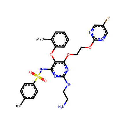 COc1ccccc1Oc1c(NS(=O)(=O)c2ccc(C(C)(C)C)cc2)nc(NCCN)nc1OCCOc1ncc(Br)cn1